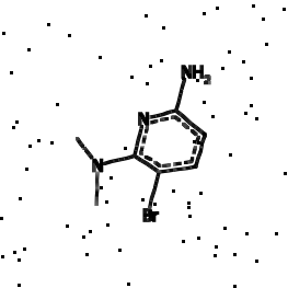 CN(C)c1nc(N)ccc1Br